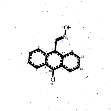 O/N=C/c1c2ccccc2c(Cl)c2ccccc12